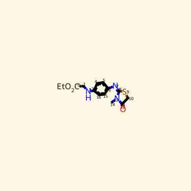 CCOC(=O)CNc1ccc(N=C2SCC(=O)N2C)cc1